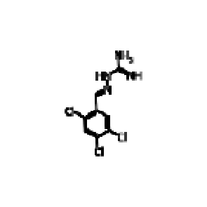 N=C(N)NN=Cc1cc(Cl)c(Cl)cc1Cl